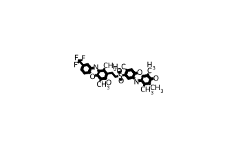 Cc1cc2oc3c(C)c(=O)c(C)c(C)c-3nc2cc1S(=O)(=O)CCc1c(C)c2nc3cc(C(F)(F)F)ccc3oc-2c(C)c1=O